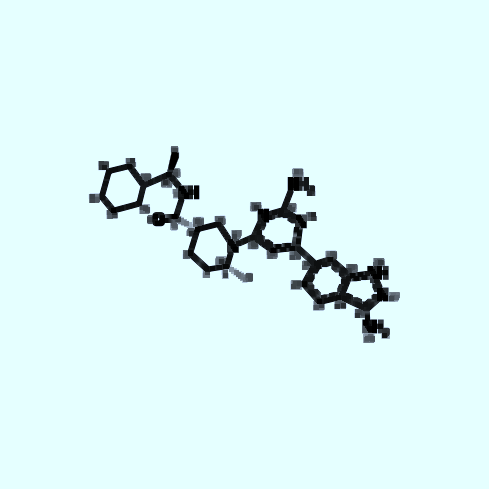 C[C@@H]1CC[C@H](C(=O)N[C@H](C)C2CCCCC2)CN1c1cc(-c2ccc3c(N)n[nH]c3c2)nc(N)n1